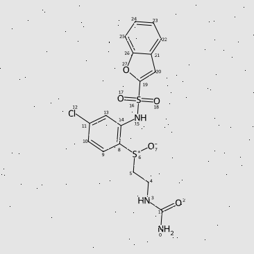 NC(=O)NCC[S+]([O-])c1ccc(Cl)cc1NS(=O)(=O)c1cc2ccccc2o1